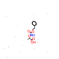 C[C@@H](ONC(=O)OCCc1ccccc1)C(=O)O